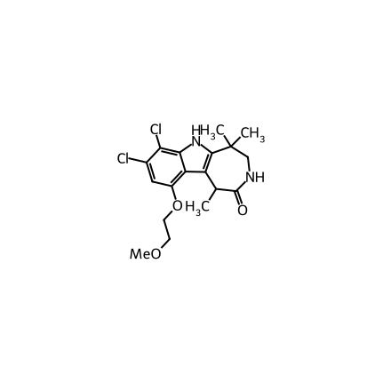 COCCOc1cc(Cl)c(Cl)c2[nH]c3c(c12)C(C)C(=O)NCC3(C)C